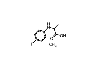 C.CC(Nc1ccc(F)cc1)C(=O)O